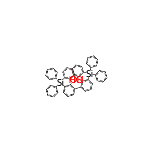 Oc1c(-c2cccc([Si](c3ccccc3)(c3ccccc3)c3ccccc3)c2O)cccc1[Si](c1ccccc1)(c1ccccc1)c1ccccc1